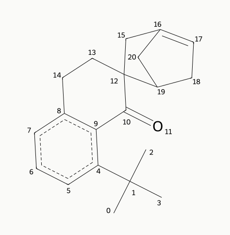 CC(C)(C)c1cccc2c1C(=O)C1(CC2)CC2=CCC1C2